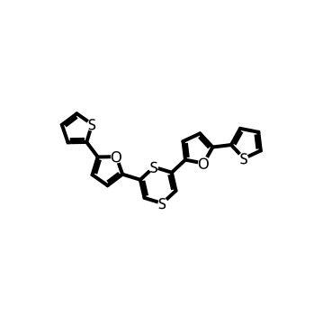 C1=C(c2ccc(-c3cccs3)o2)SC(c2ccc(-c3cccs3)o2)=CS1